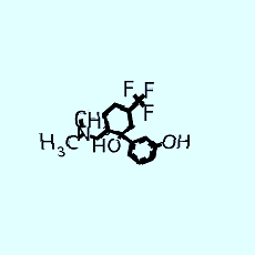 CN(C)CC1CCC(C(F)(F)F)CC1(O)c1cccc(O)c1